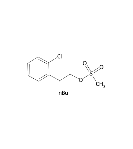 CCCCC(COS(C)(=O)=O)c1ccccc1Cl